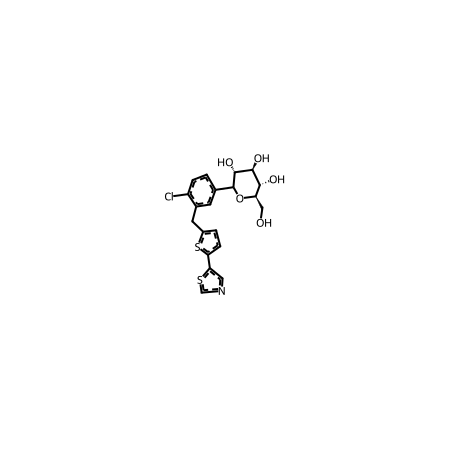 OC[C@H]1OC(c2ccc(Cl)c(Cc3ccc(-c4cncs4)s3)c2)[C@H](O)[C@@H](O)[C@@H]1O